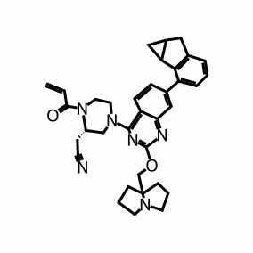 C=CC(=O)N1CCN(c2nc(OCC34CCCN3CCC4)nc3cc(-c4cccc5c4C4CC4C5)ccc23)C[C@@H]1CC#N